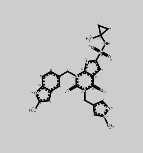 Cc1cc2cc(Cn3c(=O)n(Cc4cnn(C)c4)c(=O)c4cc(S(=O)(=O)NC5(C)CC5)sc43)ccc2o1